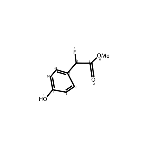 COC(=O)C(F)c1ccc(O)cc1